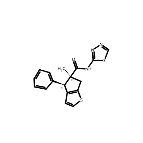 C[C@]1(C(=O)Nc2nncs2)Cc2sccc2[C@H]1c1ccccc1